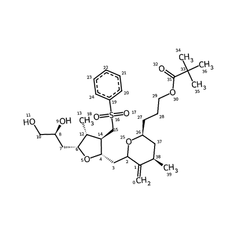 C=C1C(C[C@@H]2O[C@H](C[C@H](O)CO)[C@H](C)[C@H]2CS(=O)(=O)c2ccccc2)O[C@@H](CCCOC(=O)C(C)(C)C)C[C@H]1C